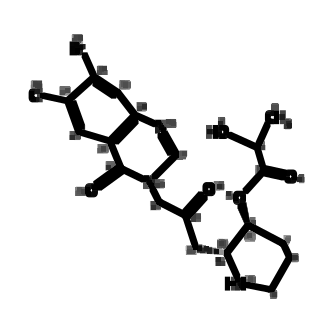 CC(O)C(=O)O[C@H]1CCCN[C@@H]1CC(=O)Cn1cnc2cc(Br)c(Cl)cc2c1=O